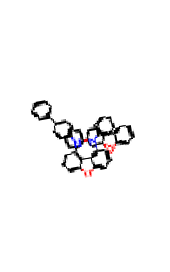 c1ccc(-c2ccc(N(c3ccc4c(c3)oc3ccccc34)c3cccc4oc5cccc(N(c6ccccc6)c6ccccc6)c5c34)cc2)cc1